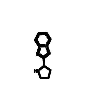 c1ccn2cc([C@H]3CCCN3)nc2c1